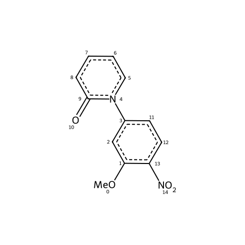 COc1cc(-n2ccccc2=O)ccc1[N+](=O)[O-]